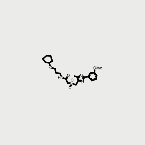 COc1cccc(-c2nc(CS(=O)(=O)CC(=O)NCCCOC3CCCCC3)c(C)o2)c1